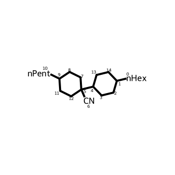 CCCCCCC1CCC(C2(C#N)CCC(CCCCC)CC2)CC1